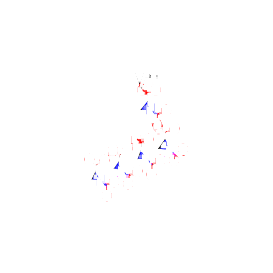 O=C([O-])[C@@H]1CN1C(=O)[O-].O=C([O-])[C@@H]1CN1C(=O)[O-].O=C([O-])[C@@H]1CN1C(=O)[O-].O=C([O-])[C@@H]1CN1C(=O)[O-].O=C([O-])[C@@H]1CN1C(=O)[O-].[V+5].[V+5]